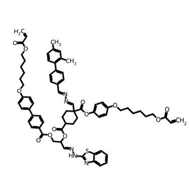 C=CC(=O)OCCCCCCOc1ccc(OC(=O)C2(/C=N/N=C/c3ccc(-c4ccc(C)cc4C)cc3)CCC(C(=O)OC(/C=N/Nc3nc4ccccc4s3)COC(=O)c3ccc(-c4ccc(OCCCCCCOC(=O)C=C)cc4)cc3)CC2)cc1